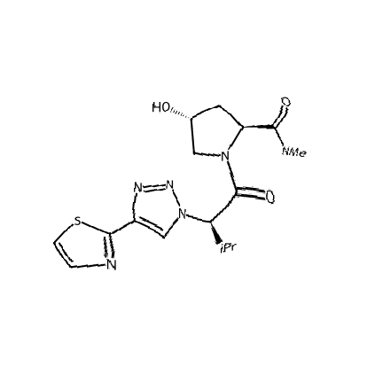 CNC(=O)[C@@H]1C[C@@H](O)CN1C(=O)[C@@H](C(C)C)n1cc(-c2nccs2)nn1